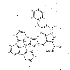 COC(=O)c1cc2c(Cl)cc(Oc3ccccc3)cc2n1Cc1cn(C(c2ccccc2)(c2ccccc2)c2ccccc2)cn1